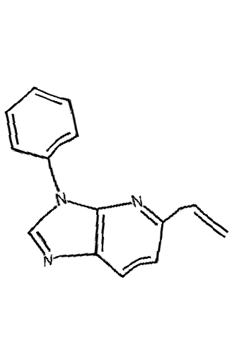 C=Cc1ccc2ncn(-c3ccccc3)c2n1